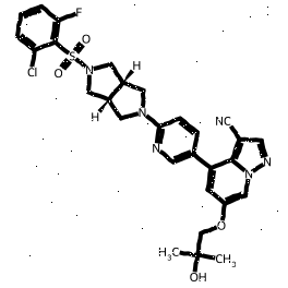 CC(C)(O)COc1cc(-c2ccc(N3C[C@@H]4CN(S(=O)(=O)c5c(F)cccc5Cl)C[C@@H]4C3)nc2)c2c(C#N)cnn2c1